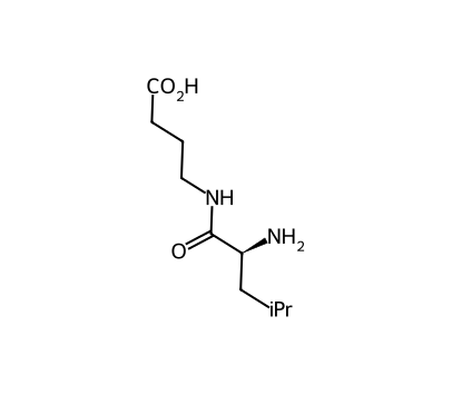 CC(C)C[C@H](N)C(=O)NCCCC(=O)O